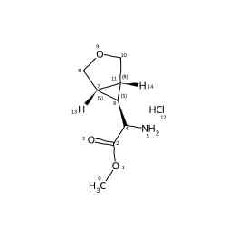 COC(=O)C(N)[C@H]1[C@@H]2COC[C@@H]21.Cl